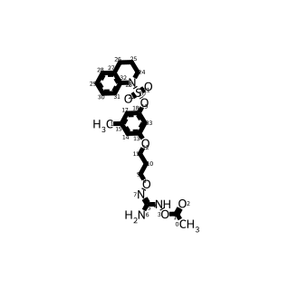 CC(=O)ONC(N)=NOCCCOc1cc(C)cc(OS(=O)(=O)N2CCCc3ccccc32)c1